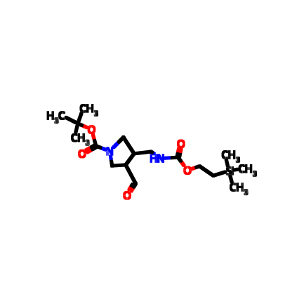 CC(C)(C)OC(=O)N1CC(C=O)C(CNC(=O)OCC[Si](C)(C)C)C1